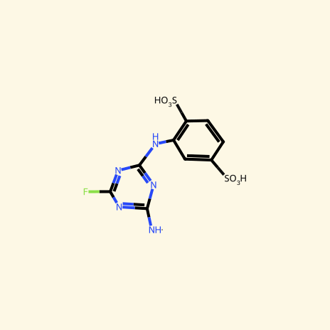 [NH]c1nc(F)nc(Nc2cc(S(=O)(=O)O)ccc2S(=O)(=O)O)n1